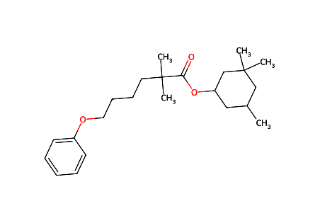 CC1CC(OC(=O)C(C)(C)CCCCOc2ccccc2)CC(C)(C)C1